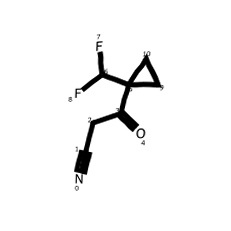 N#CCC(=O)C1(C(F)F)CC1